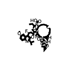 CCC(C)N(C(=O)O)[C@H]1CCCCC/C=C\[C@@H]2C[C@@]2(C(=O)NS(=O)(=O)C2(C)CC2)NC(=O)[C@@H]2C[C@]3(C[C@@H](F)c4c(c(C(C)C)nc5ccc(OC)cc45)O3)C(C)N2C1=O